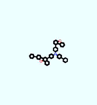 C1=CC(c2ccc(N(C3=CC=C(c4cccc5oc6ccccc6c45)CC3)c3ccc(-c4cc5c6ccc(-c7ccccc7)cc6oc5c5ccccc45)cc3)cc2)=CCC1